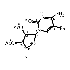 CC(=O)O[C@@H]1[C@@H](C)OC(n2cc(F)c(N)nc2=O)[C@@H]1OC(C)=O